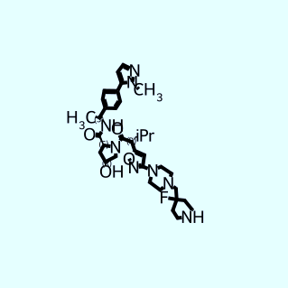 CC(C)[C@@H](C(=O)N1C[C@H](O)C[C@H]1C(=O)N[C@@H](C)c1ccc(-c2ccnn2C)cc1)c1cc(N2CCN(CC3(F)CCNCC3)CC2)no1